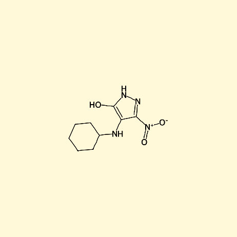 O=[N+]([O-])c1n[nH]c(O)c1NC1CCCCC1